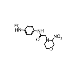 CCNc1ccc(NC(=O)CN2CCOCC2[N+](=O)[O-])cc1